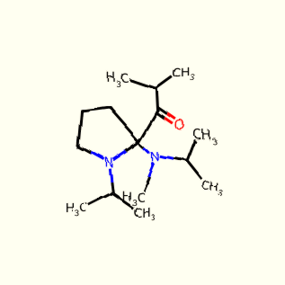 CC(C)C(=O)C1(N(C)C(C)C)CCCN1C(C)C